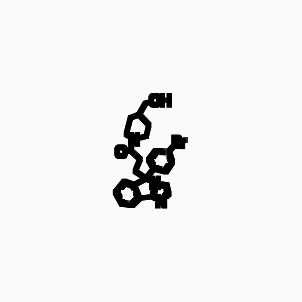 O=C(CCC1(c2ccc(Br)cc2)c2ccccc2-c2nccn21)N1CCC(CO)CC1